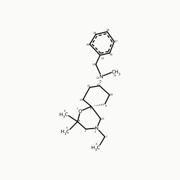 CCN1CC(C)(C)O[C@]2(CC[C@@H](N(C)Cc3ccccc3)CC2)C1